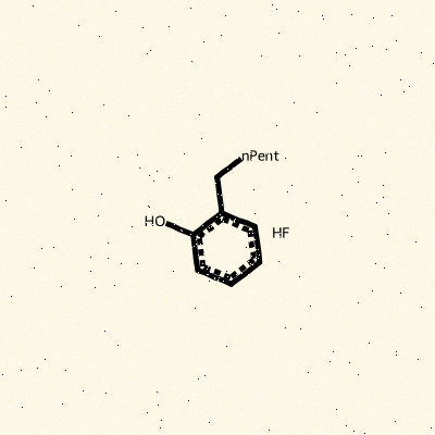 CCCCCCc1ccccc1O.F